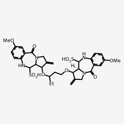 C=C1CN2C(=O)c3cc(OC)ccc3NC(S(=O)(=O)O)C2C1OC(CC)CCOC1C(=C)CN2C(=O)c3cc(OC)ccc3NC(S(=O)(=O)O)[C@H]12